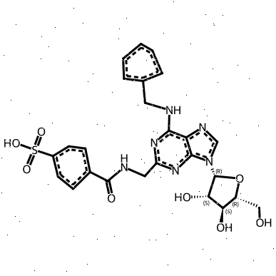 O=C(NCc1nc(NCc2ccccc2)c2ncn([C@@H]3O[C@H](CO)[C@@H](O)[C@@H]3O)c2n1)c1ccc(S(=O)(=O)O)cc1